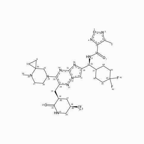 Cc1nonc1C(=O)N[C@H](c1cn2nc(C[C@H]3C[C@@H](C(F)(F)F)CNC3=O)c(N3CCN(C)C4(CC4)C3)nc2n1)C1CCC(F)(F)CC1